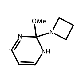 COC1(N2CCC2)N=[C]C=CN1